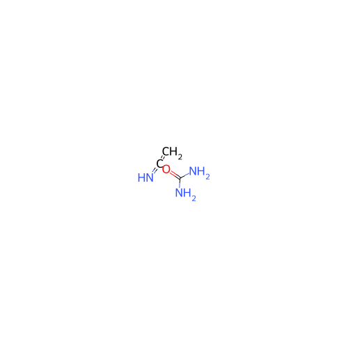 C=C=N.NC(N)=O